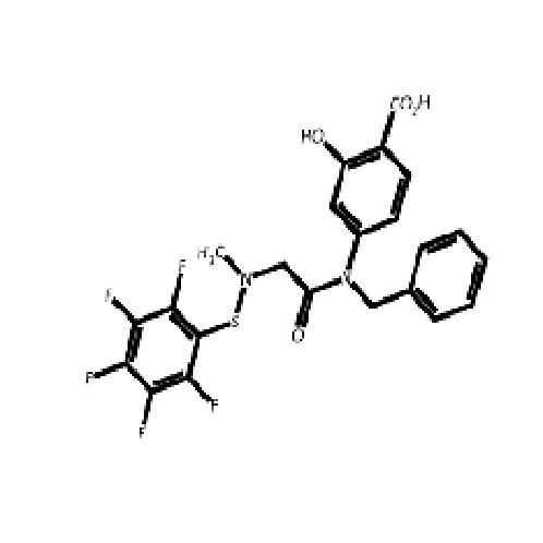 CN(CC(=O)N(Cc1ccccc1)c1ccc(C(=O)O)c(O)c1)Sc1c(F)c(F)c(F)c(F)c1F